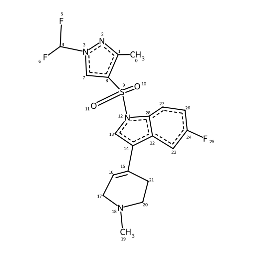 Cc1nn(C(F)F)cc1S(=O)(=O)n1cc(C2=CCN(C)CC2)c2cc(F)ccc21